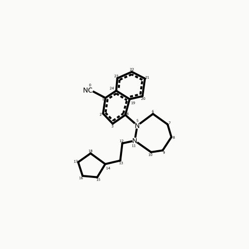 N#Cc1ccc(N2CCCCCN2CCC2CCCC2)c2ccccc12